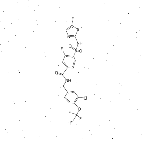 O=C(NCc1ccc(OC(F)(F)F)c(Cl)c1)c1ccc(S(=O)(=O)Nc2ncc(F)s2)c(F)c1